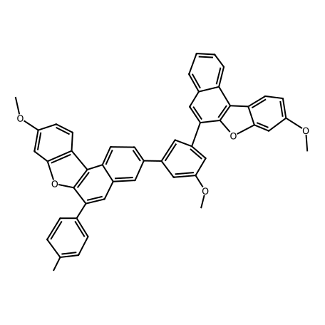 COc1cc(-c2ccc3c(c2)cc(-c2ccc(C)cc2)c2oc4cc(OC)ccc4c23)cc(-c2cc3ccccc3c3c2oc2cc(OC)ccc23)c1